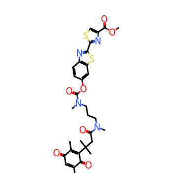 COC(=O)c1csc(-c2nc3ccc(OC(=O)N(C)CCCN(C)C(=O)CC(C)(C)C4=C(C)C(=O)C=C(C)C4=O)cc3s2)n1